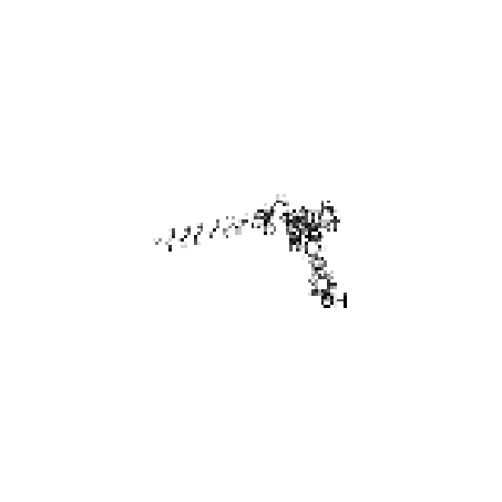 CCCCCCCCCCCCCCOC(=O)c1cccc(NC(=O)C(OC)(C(=O)c2ccccc2)n2nnc3cc(OCc4ccc(O)cc4)ccc32)c1